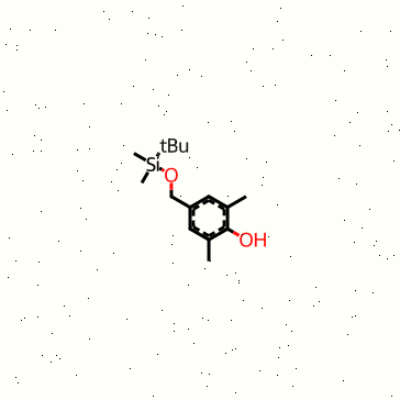 Cc1cc(CO[Si](C)(C)C(C)(C)C)cc(C)c1O